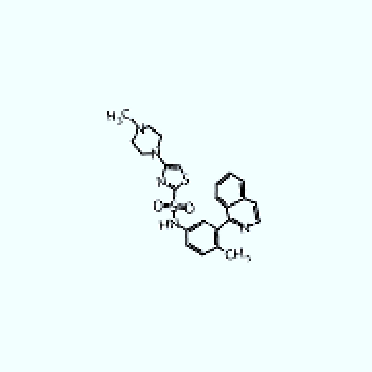 Cc1ccc(NS(=O)(=O)c2nc(N3CCN(C)CC3)cs2)cc1-c1nccc2ccccc12